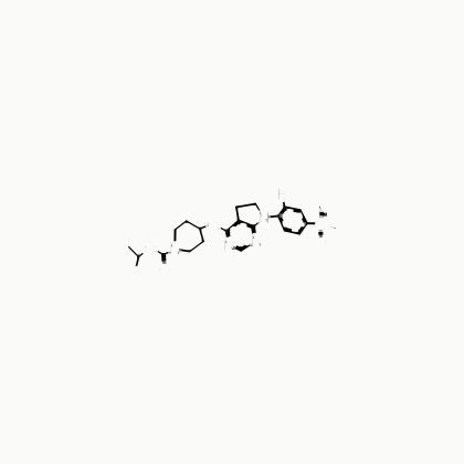 CC(C)OC(=O)N1CCC(Oc2ncnc3c2CCN3c2ccc([S@](C)(=N)=O)cc2F)CC1